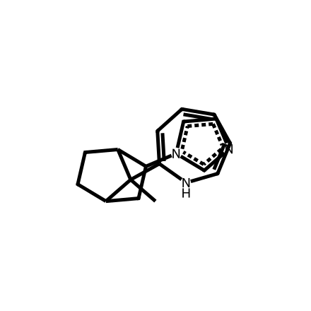 CC1(C2=CC=CC=CN2)C2CCC1C(n1ccnc1)C2